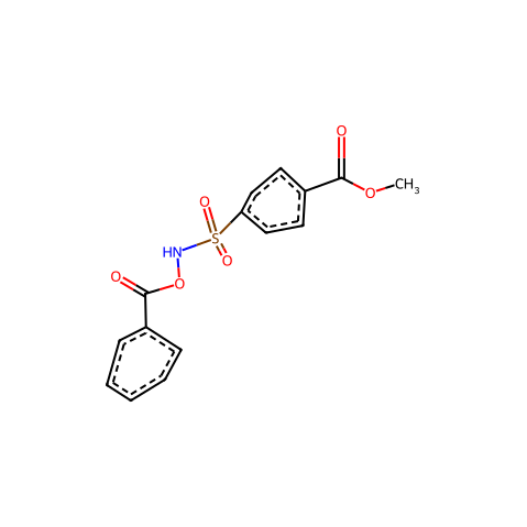 COC(=O)c1ccc(S(=O)(=O)NOC(=O)c2ccccc2)cc1